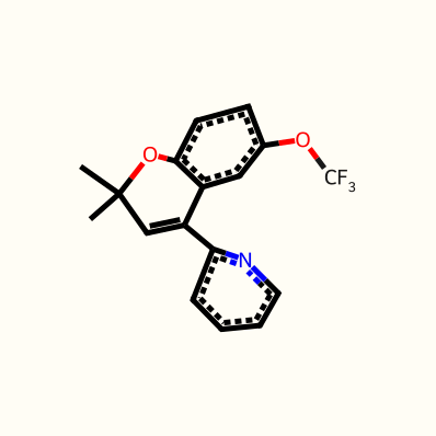 CC1(C)C=C(c2ccccn2)c2cc(OC(F)(F)F)ccc2O1